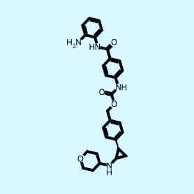 Nc1ccccc1NC(=O)c1ccc(NC(=O)OCc2ccc([C@H]3CC3NC3CCOCC3)cc2)cc1